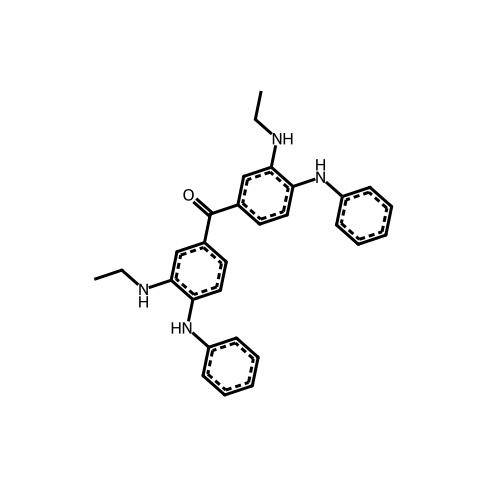 CCNc1cc(C(=O)c2ccc(Nc3ccccc3)c(NCC)c2)ccc1Nc1ccccc1